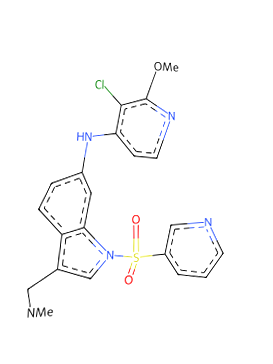 CNCc1cn(S(=O)(=O)c2cccnc2)c2cc(Nc3ccnc(OC)c3Cl)ccc12